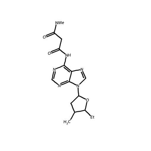 CCC1OC(n2cnc3c(NC(=O)CC(=O)NC)ncnc32)CC1C